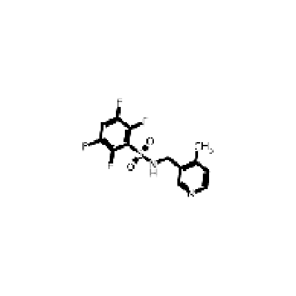 Cc1ccncc1CNS(=O)(=O)c1c(F)c(F)cc(F)c1F